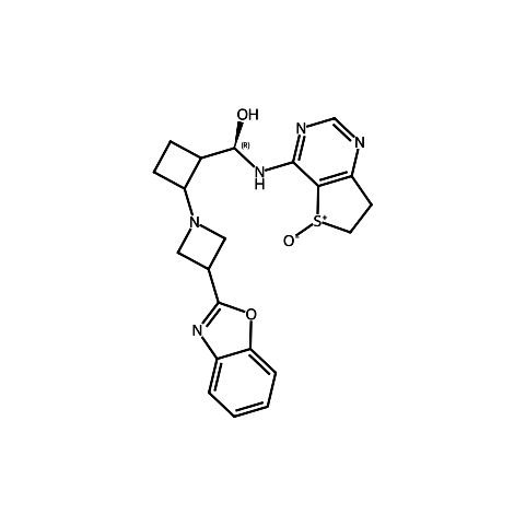 [O-][S+]1CCc2ncnc(N[C@H](O)C3CCC3N3CC(c4nc5ccccc5o4)C3)c21